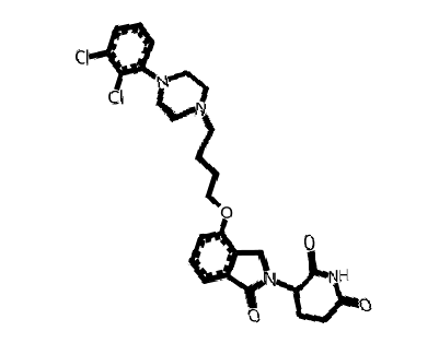 O=C1CCC(N2Cc3c(OCCCCN4CCN(c5cccc(Cl)c5Cl)CC4)cccc3C2=O)C(=O)N1